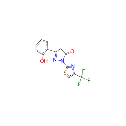 O=C1CC(c2ccccc2O)=NN1c1nc(C(F)(F)F)cs1